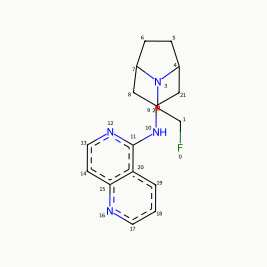 FCCN1C2CCC1CC(Nc1nccc3ncccc13)C2